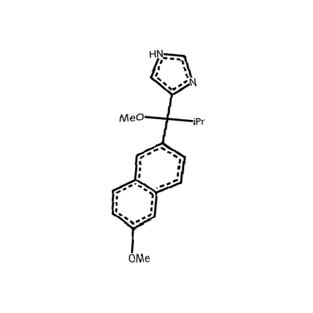 COc1ccc2cc(C(OC)(c3c[nH]cn3)C(C)C)ccc2c1